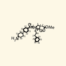 COC(=O)C[C@@H]1C[C@@H](CNC(=O)c2ccc([C@H]3CC[C@@H](N)CC3)cc2)N(CCCc2ccccc2)C1=O